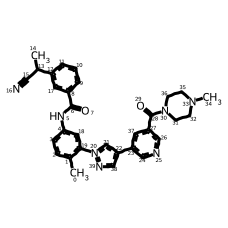 Cc1ccc(NC(=O)c2cccc(C(C)C#N)c2)cc1-n1cc(-c2cncc(C(=O)N3CCN(C)CC3)c2)cn1